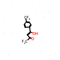 O=C(/C=C(\O)c1ccc(C(F)(F)F)cc1)C(F)(F)F